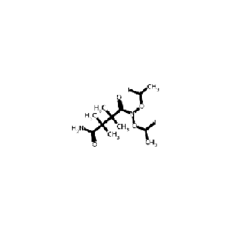 CC(I)ON(OC(C)I)C(=O)C(C)(C)C(C)(C)C(N)=O